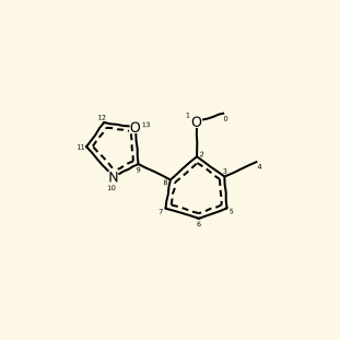 COc1c(C)cccc1-c1ncco1